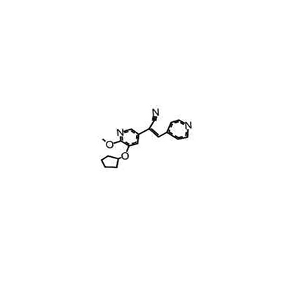 COc1ncc(C(C#N)=Cc2ccncc2)cc1OC1CCCC1